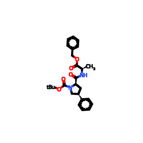 C[C@H](NC(=O)[C@H]1C[C@H](c2ccccc2)CN1C(=O)OC(C)(C)C)C(=O)OCc1ccccc1